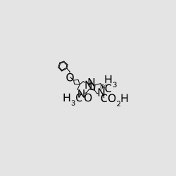 C[C@@H]1Cc2nn3c(c2CN1C(=O)O)C(=O)N(C)CC1(CC(OCc2ccccc2)C1)C3